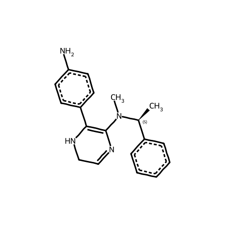 C[C@@H](c1ccccc1)N(C)C1=C(c2ccc(N)cc2)NCC=N1